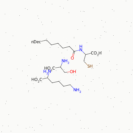 CCCCCCCCCCCCCCCC(=O)NC(CS)C(=O)O.NC(CO)C(=O)O.NCCCCC(N)C(=O)O